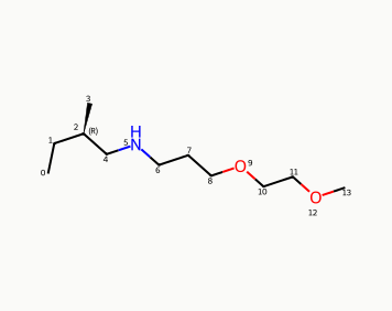 CC[C@@H](C)CNCCCOCCOC